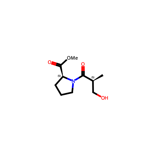 COC(=O)[C@@H]1CCCN1C(=O)[C@@H](C)CO